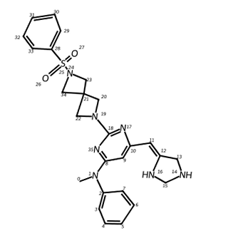 CN(c1ccccc1)c1cc(C=C2CNCN2)nc(N2CC3(C2)CN(S(=O)(=O)c2ccccc2)C3)n1